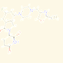 Cc1nc(CN2CCN(c3cc(F)cc4c3CN(C3CCC(=O)NC3=O)C4=O)CC2)co1